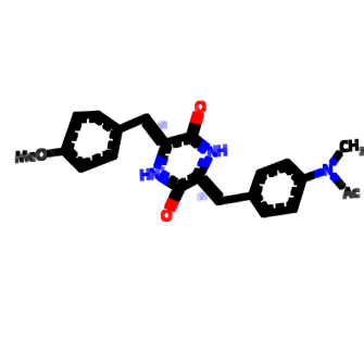 COc1ccc(/C=c2\[nH]c(=O)/c(=C/c3ccc(N(C)C(C)=O)cc3)[nH]c2=O)cc1